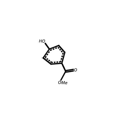 COC(=O)c1c[c]c(O)cc1